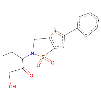 CC(C)C(C(=O)CO)N1Cc2sc(-c3ccccc3)cc2S1(=O)=O